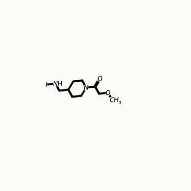 COCC(=O)N1CCC(CNI)CC1